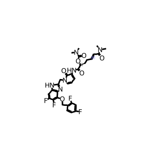 CN(C)C(=O)/C=C/CC[C@H](OC(=O)N(C)C)C(=O)Nc1cccn(Cc2nc3c(OCc4ccc(F)cc4F)c(F)c(F)cc3[nH]2)c1=O